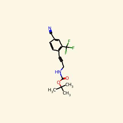 CC(C)(C)OC(=O)NCC#Cc1ccc(C#N)cc1C(F)(F)F